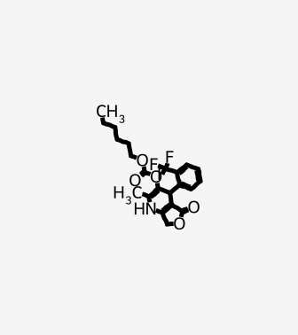 CCCCCCOC(=O)OC1=C(C)NC2=C(C(=O)OC2)C1c1ccccc1C(F)(F)F